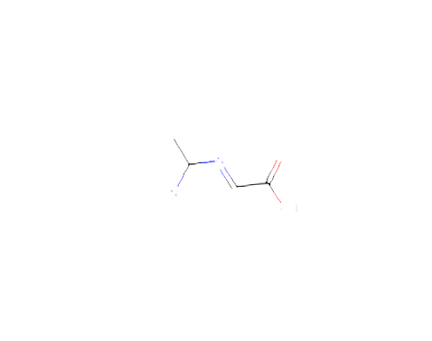 CC(N)N=CC(=O)O